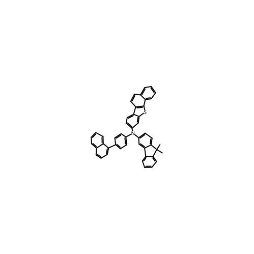 CC1(C)c2ccccc2-c2cc(N(c3ccc(-c4cccc5ccccc45)cc3)c3ccc4c(c3)sc3c5ccccc5ccc43)ccc21